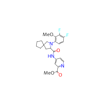 COC(=O)c1cc(NC(=O)C2CC3(CCCC3)CN2c2ccc(F)c(F)c2OC)ccn1